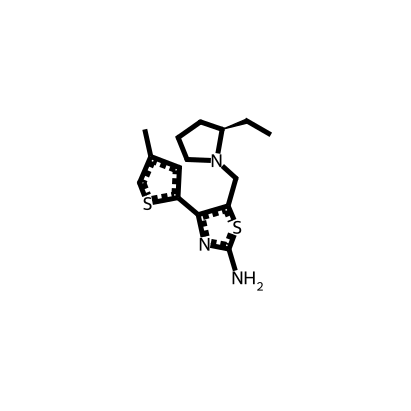 CC[C@@H]1CCCN1Cc1sc(N)nc1-c1cc(C)cs1